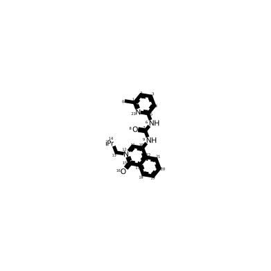 Cc1cccc(NC(=O)Nc2cn(CC(C)C)c(=O)c3ccccc23)n1